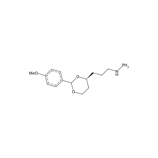 COc1ccc(C2OCC[C@H](CCCNP)O2)cc1